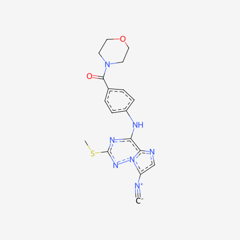 [C-]#[N+]c1cnc2c(Nc3ccc(C(=O)N4CCOCC4)cc3)nc(SC)nn12